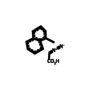 Cc1cccc2ccccc12.[N-]=[N+]=CC(=O)O